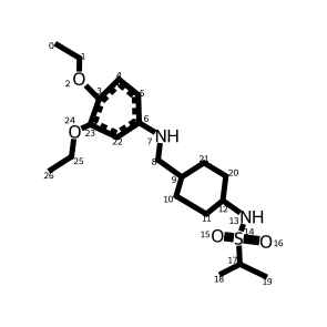 CCOc1ccc(NCC2CCC(NS(=O)(=O)C(C)C)CC2)cc1OCC